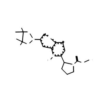 CC(C)n1c(C2CCCN2C(=O)OC(C)(C)C)cc(=O)c2ccc(B3OC(C)(C)C(C)(C)O3)cc21